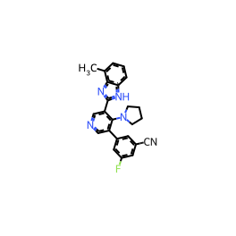 Cc1cccc2[nH]c(-c3cncc(-c4cc(F)cc(C#N)c4)c3N3CCCC3)nc12